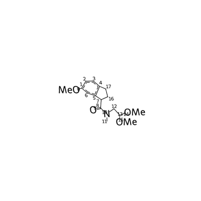 COc1ccc2c(c1)C(C(=O)N(C)CC(OC)OC)CC2